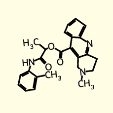 Cc1ccccc1NC(=O)C(C)OC(=O)c1c2c(nc3ccccc13)CCN(C)C2